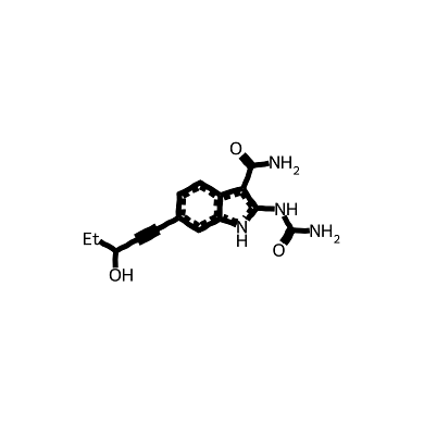 CCC(O)C#Cc1ccc2c(C(N)=O)c(NC(N)=O)[nH]c2c1